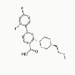 CCCC[C@H]1CC[C@H](c2cc(-c3ccc(F)cc3F)ccc2C(=O)O)CC1